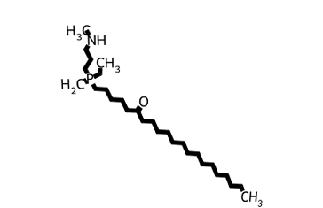 C=P(CC)(CCCCCC(=O)CCCCCCCCCCCCCCC)CCCNC